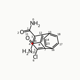 NC(=O)c1cc(Cl)c2c(C(N)=O)c1-c1ccc-2cc1